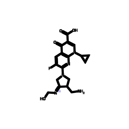 NCC1CN(c2nc3c(cc2F)c(=O)c(C(=O)O)cn3C2CC2)C/C1=N\CO